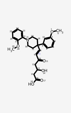 COc1cccc(C2(/C=C/C(=O)CC(O)CC(=O)O)CCN(c3ccccc3OC)CC2)c1